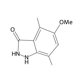 COc1cc(C)c2[nH][nH]c(=O)c2c1C